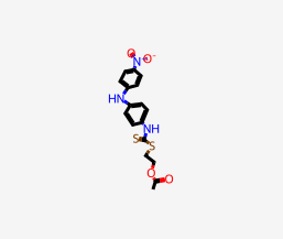 CC(=O)OCCSC(=S)Nc1ccc(Nc2ccc([N+](=O)[O-])cc2)cc1